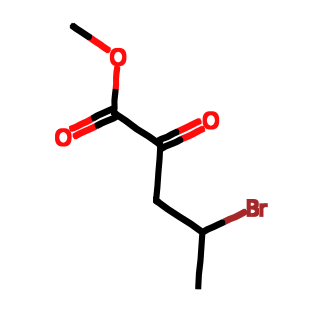 COC(=O)C(=O)CC(C)Br